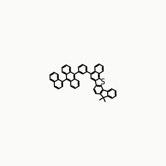 CC1(C)c2ccccc2-c2c1ccc1c2sc2c3ccccc3c(-c3cccc(-c4c5ccccc5c(-c5cccc6ccccc56)c5ccccc45)c3)cc12